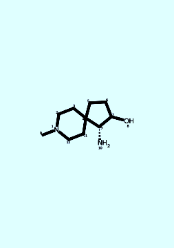 CN1CCC2(CCC(O)[C@@H]2N)CC1